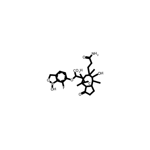 CC1C(O)C(C)(CCC(N)=O)CC(C(Oc2ccc3c(c2F)B(O)OC3)C(=O)O)C2(C)C(C)CCC13CCC(=O)C32